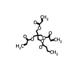 C=CC(=O)OCC(COC(=O)C=C)(COC(=O)C=C)COC(=O)CCC